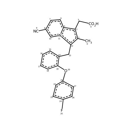 Cc1c(CC(=O)O)c2ccc(C#N)cn2c1Cc1ccccc1Oc1ccc(F)cc1